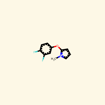 Cn1c[c]cc1Oc1ccc(F)c(F)c1